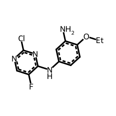 CCOc1ccc(Nc2nc(Cl)ncc2F)cc1N